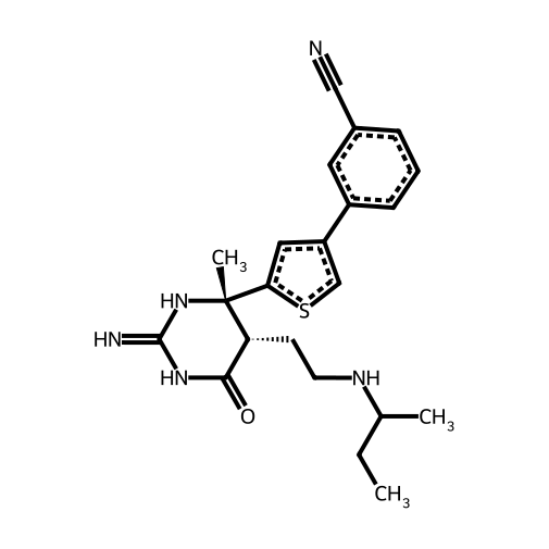 CCC(C)NCC[C@@H]1C(=O)NC(=N)N[C@]1(C)c1cc(-c2cccc(C#N)c2)cs1